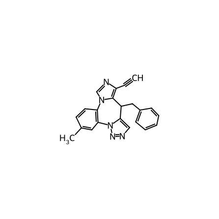 C#Cc1ncn2c1C(Cc1ccccc1)c1cnnn1-c1cc(C)ccc1-2